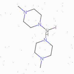 CN1CCN([SiH](I)N2CCN(C)CC2)CC1